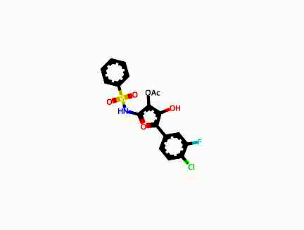 CC(=O)Oc1c(NS(=O)(=O)c2ccccc2)oc(-c2ccc(Cl)c(F)c2)c1O